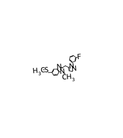 CCn1c(Cc2ccnn2-c2cccc(F)c2)nc2cc(CSC)ccc21